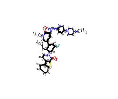 CC(=O)OCc1c(-c2cc(Nc3ccc(N4CCN(C)CC4)cn3)c(=O)n(C)c2)cc(F)cc1N1CCc2c(sc3c2CCCC3)C1=O